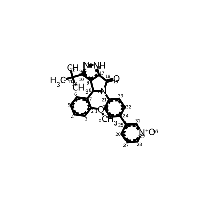 COc1ccccc1C1c2c(C(C)(C)C)n[nH]c2C(=O)N1c1ccc(-c2ccc[n+]([O-])c2)cc1